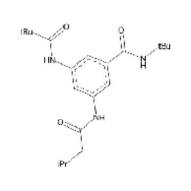 CC(C)CC(=O)Nc1cc(NC(=O)C(C)(C)C)cc(C(=O)NC(C)(C)C)c1